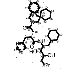 CC(C)C[C@H](O)[C@H](O)[C@H](CC1CCCCC1)NC(=O)[C@@H](CC(=O)N(Cc1ccccc1)CC1(O)CCCCC1)Cc1cscn1